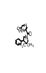 CC1(C)CN(C(=O)c2cncc(=O)[nH]2)CC1c1ccccc1